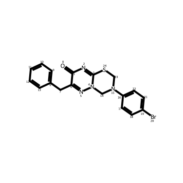 O=c1nc2n(nc1Cc1ccccc1)CN(c1ccc(Br)cc1)CS2